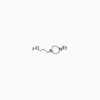 CCN1CCN(CCCOI)CC1